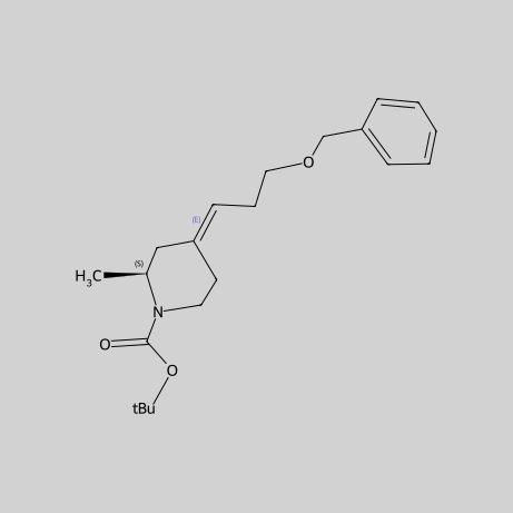 C[C@H]1C/C(=C/CCOCc2ccccc2)CCN1C(=O)OC(C)(C)C